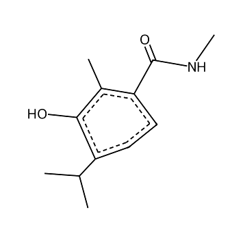 CNC(=O)c1ccc(C(C)C)c(O)c1C